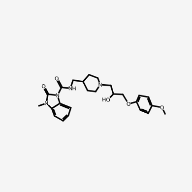 COc1ccc(OCC(O)CN2CCC(CNC(=O)n3c(=O)n(C)c4ccccc43)CC2)cc1